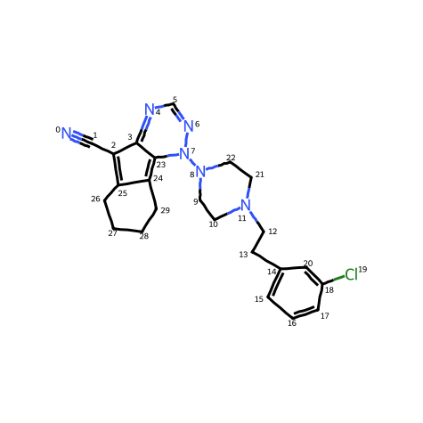 N#Cc1c2ncnn(N3CCN(CCc4cccc(Cl)c4)CC3)c-2c2c1CCCC2